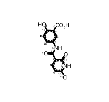 O=C(O)c1cc(NC(=O)c2ccc(Cl)[nH]c2=O)ccc1O